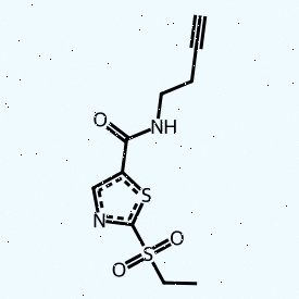 C#CCCNC(=O)c1cnc(S(=O)(=O)CC)s1